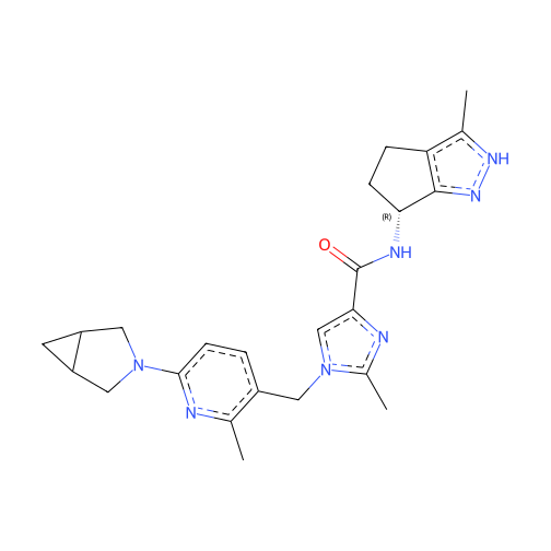 Cc1nc(N2CC3CC3C2)ccc1Cn1cc(C(=O)N[C@@H]2CCc3c2n[nH]c3C)nc1C